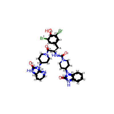 O=C(N[C@H](Cc1cc(Br)c(O)c(Br)c1)C(=O)N1CCC(n2c(=O)[nH]c3cccnc32)CC1)N1CCC(n2c(=O)[nH]c3ccccc32)CC1